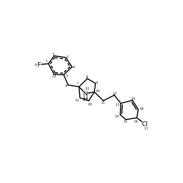 Fc1cccc(CC23CCC(CCC4=CCC(Cl)C=C4)(CC2)N3)c1